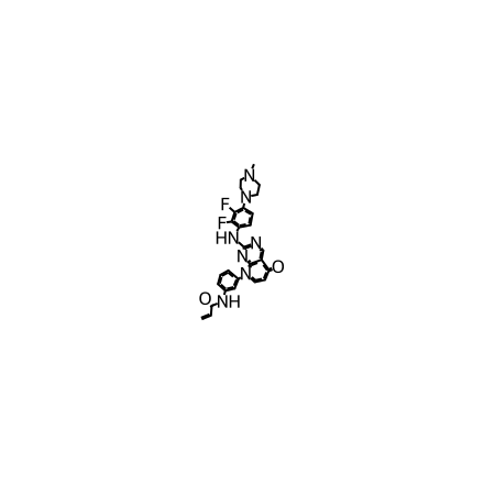 C=CC(=O)Nc1cccc(-n2ccc(=O)c3cnc(Nc4ccc(N5CCN(C)CC5)c(F)c4F)nc32)c1